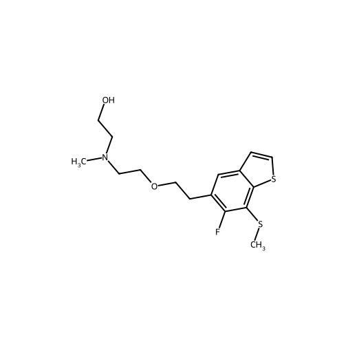 CSc1c(F)c(CCOCCN(C)CCO)cc2ccsc12